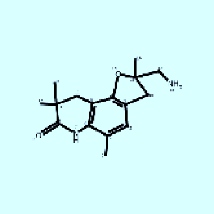 Cc1cc2c(c3c1NC(=O)C(C)(C)C3)OC(C)(CN)C2